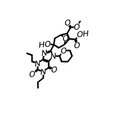 CCCn1c(=O)c2c(nc(C3(O)CC4OC(C3)C(C(=O)OC)C4C(=O)O)n2C2CCCCO2)n(CCC)c1=O